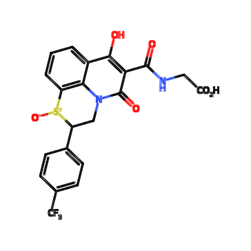 O=C(O)CNC(=O)c1c(O)c2cccc3c2n(c1=O)CC(c1ccc(C(F)(F)F)cc1)[S+]3[O-]